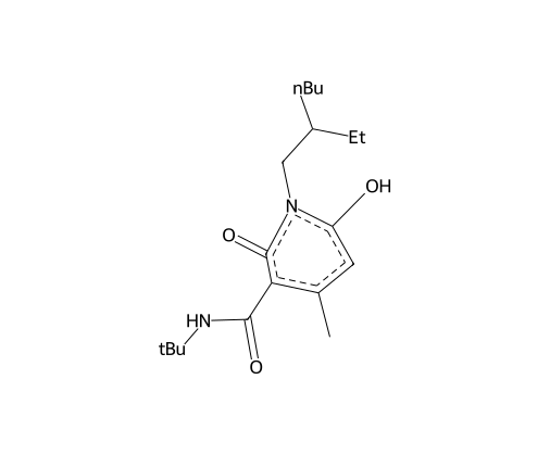 CCCCC(CC)Cn1c(O)cc(C)c(C(=O)NC(C)(C)C)c1=O